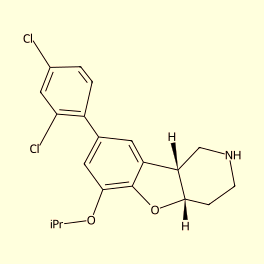 CC(C)Oc1cc(-c2ccc(Cl)cc2Cl)cc2c1O[C@H]1CCNC[C@@H]21